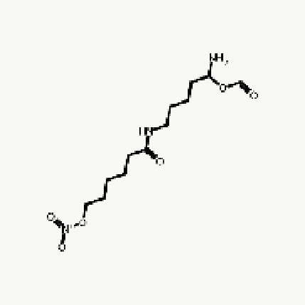 NC(CCCCNC(=O)CCCCCO[N+](=O)[O-])OC=O